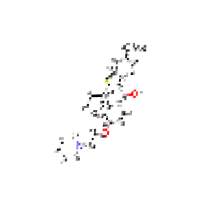 COc1ccc2c(C(=O)c3ccc(OCCN4CCCCC4)cc3)c(C3CCCC3)sc2c1